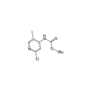 CC(C)(C)OC(=O)Nc1cc(Cl)ncc1I